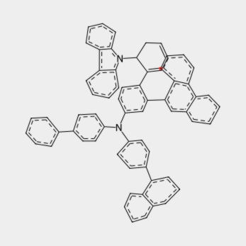 C1=CCC(n2c3ccccc3c3ccccc32)C(c2ccc(N(c3ccc(-c4ccccc4)cc3)c3ccc(-c4cccc5ccccc45)cc3)cc2-c2cc3ccccc3c3ccccc23)=C1